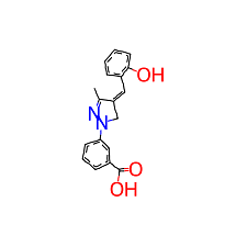 CC1=NN(c2cccc(C(=O)O)c2)C/C1=C/c1ccccc1O